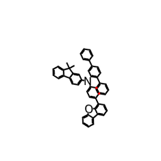 CC1(C)c2ccccc2-c2ccc(N(c3ccc(-c4cccc5c4oc4ccccc45)cc3)c3cc(-c4ccccc4)ccc3-c3ccccc3)cc21